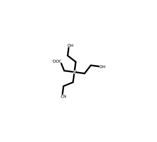 N#CCC[N+](CCO)(CCO)CC(=O)[O-]